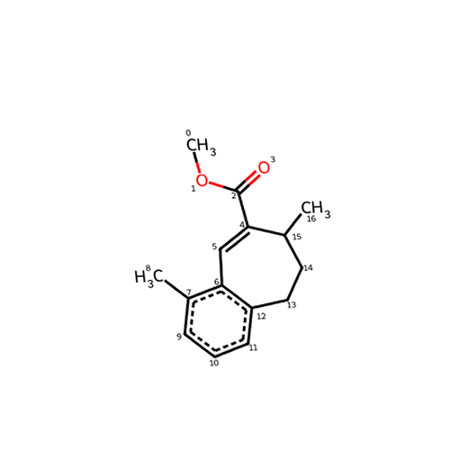 COC(=O)C1=Cc2c(C)cccc2CCC1C